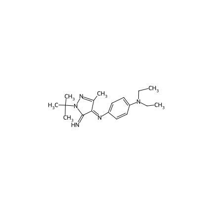 CCN(CC)c1ccc(N=C2C(=N)N(C(C)(C)C)N=C2C)cc1